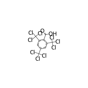 O=C(O)c1c(C(Cl)(Cl)Cl)cc(C(Cl)(Cl)Cl)cc1C(Cl)(Cl)Cl